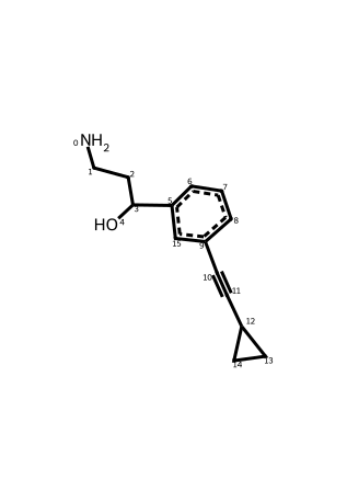 NCCC(O)c1cccc(C#CC2CC2)c1